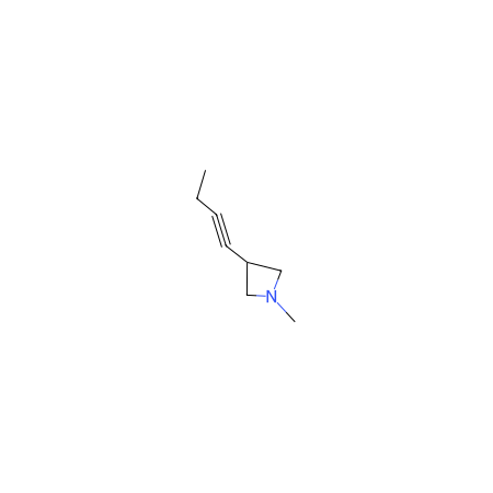 CCC#CC1CN(C)C1